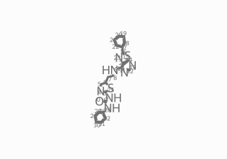 O=C(NC1=NCC(CCNc2ncnc3sc(-c4ccccc4)nc23)S1)Nc1ccccc1